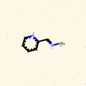 CC(C)(C)N=Cc1ccccn1